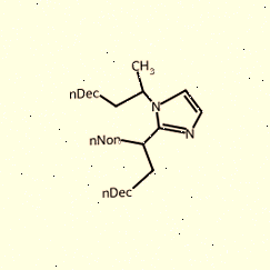 CCCCCCCCCCCC(CCCCCCCCC)c1nccn1C(C)CCCCCCCCCCC